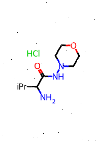 CC(C)C(N)C(=O)NN1CCOCC1.Cl